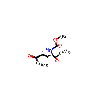 COC(=O)[C@H](C)C[C@@H](NC(=O)OC(C)(C)C)C(=O)OC